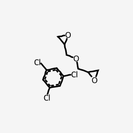 C(OCC1CO1)C1CO1.Clc1cc(Cl)cc(Cl)c1